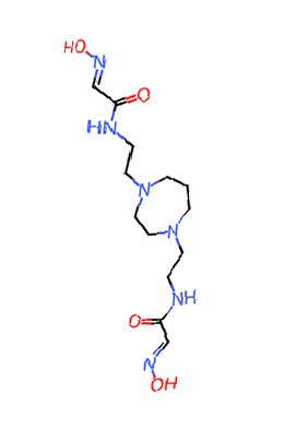 O=C(/C=N/O)NCCN1CCCN(CCNC(=O)/C=N/O)CC1